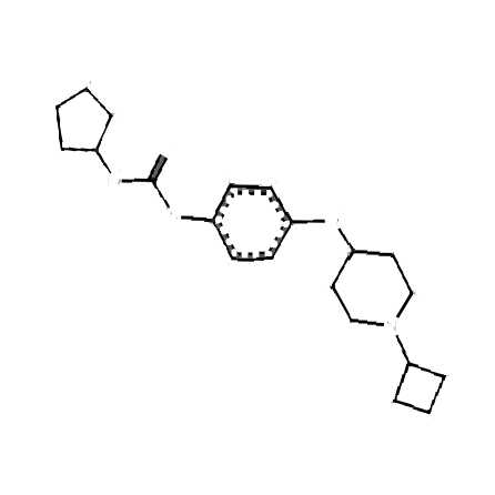 O=C(Nc1ccc(OC2CCN(C3CCC3)CC2)cc1)NC1CCCC1